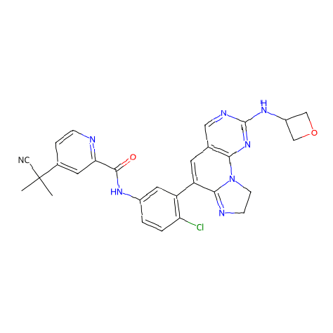 CC(C)(C#N)c1ccnc(C(=O)Nc2ccc(Cl)c(C3=Cc4cnc(NC5COC5)nc4N4CCN=C34)c2)c1